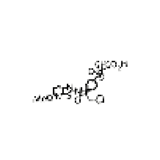 COc1ccc2nc(NC(=O)C(CC3CCCC3)c3ccc(S(=O)(=O)N(C)CC(=O)O)cc3)sc2n1